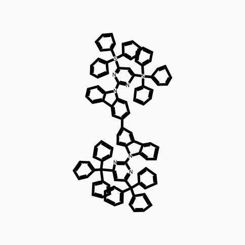 c1ccc(C(c2ccccc2)(c2ccccc2)c2cc(C(c3ccccc3)(c3ccccc3)c3ccccc3)nc(-n3c4ccccc4c4cc(-c5ccc6c(c5)c5ccccc5n6-c5nc(S(c6ccccc6)(c6ccccc6)c6ccccc6)cc(S(c6ccccc6)(c6ccccc6)c6ccccc6)n5)ccc43)n2)cc1